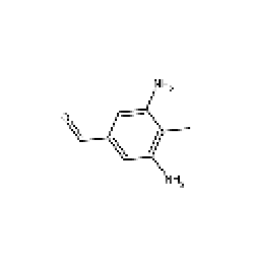 Cc1c(N)cc(C=O)cc1N